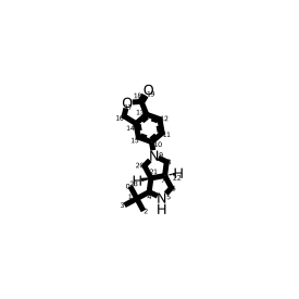 CC(C)(C)C1NC[C@@H]2CN(c3ccc4c(c3)COC4=O)C[C@@H]12